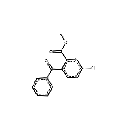 COC(=O)c1nc(Cl)ccc1C(=O)c1ccccc1